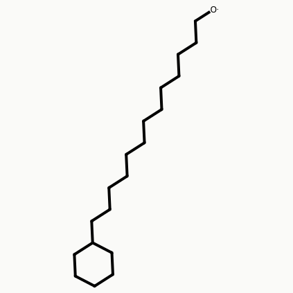 [O]CCCCCCCCCCCCCC1CCCCC1